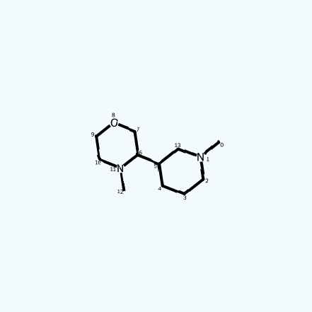 CN1CCCC(C2COCCN2C)C1